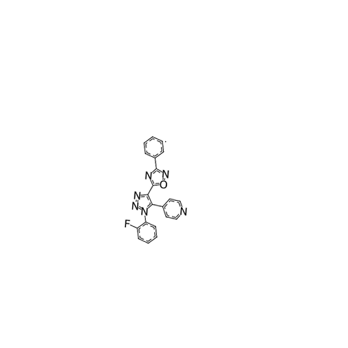 Fc1ccccc1-n1nnc(-c2nc(-c3c[c]ccc3)no2)c1-c1ccncc1